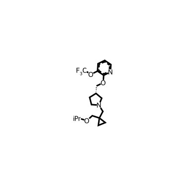 CC(C)OCC1(CN2CC[C@H](COc3ncccc3OC(F)(F)F)C2)CC1